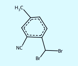 Cc1ccc(C(Br)Br)c(C#N)c1